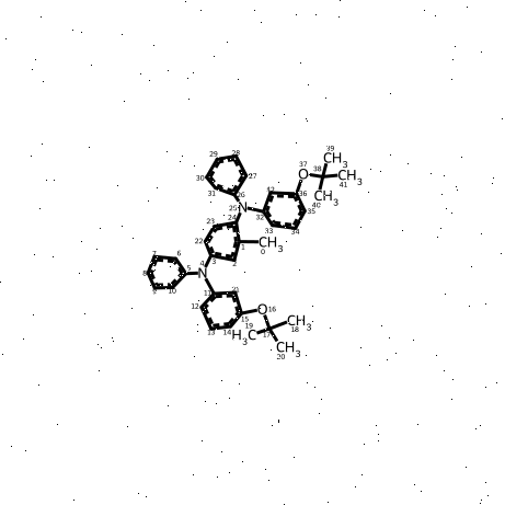 Cc1cc(N(c2ccccc2)c2cccc(OC(C)(C)C)c2)ccc1N(c1ccccc1)c1cccc(OC(C)(C)C)c1